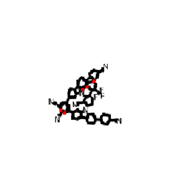 N#Cc1ccc(-c2ccc3c4ccc(-c5ccc(C#N)cc5)cc4n(-c4ccc(-c5c(C#N)cccc5C(F)(F)F)c(-n5c6cc(-c7ccc(C#N)cc7)ccc6c6ccc(-c7ccc(C#N)cc7)cc65)c4C#N)c3c2)cc1